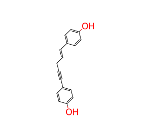 Oc1ccc(C#CC/C=C/c2ccc(O)cc2)cc1